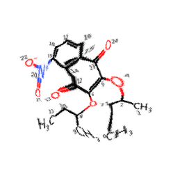 CCC(C)OC1=C(OC(C)CC)C(=O)c2c(cccc2[N+](=O)[O-])C1=O